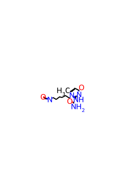 Cc1cc(=O)nc(NC(N)=O)n1CCCCCCN=C=O